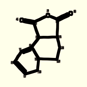 O=C1OC(=O)C2C3=CC=CCC3CCC12